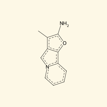 Cc1c(N)oc2c1cn1ccccc21